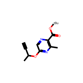 C#CC(C)Oc1cnc(C(=O)OC(C)(C)C)c(C)n1